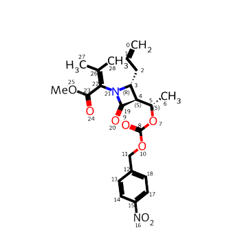 C=CC[C@@H]1[C@@H]([C@H](C)OC(=O)OCc2ccc([N+](=O)[O-])cc2)C(=O)N1C(C(=O)OC)=C(C)C